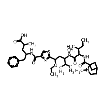 CCOC(CC(C(C)C)N(C)C(=O)C(NC(=O)C12CC(CCN1C)C2)C(C)CC)c1nc(C(=O)NC(Cc2ccccc2)CC(C)C(=O)O)cs1